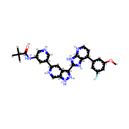 COc1cc(F)cc(-c2ccnc3[nH]c(-c4n[nH]c5cnc(-c6cncc(NC(=O)C(C)(C)C)c6)cc45)nc23)c1